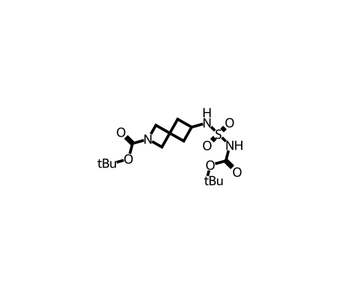 CC(C)(C)OC(=O)NS(=O)(=O)NC1CC2(C1)CN(C(=O)OC(C)(C)C)C2